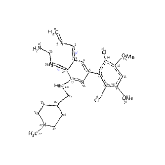 C=N/C=C1/C=C(c2c(Cl)c(OC)cc(OC)c2Cl)N=C(NCC2CCN(C)CC2)/C1=N/CN